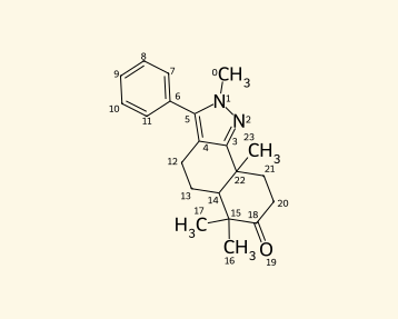 Cn1nc2c(c1-c1ccccc1)CCC1C(C)(C)C(=O)CCC21C